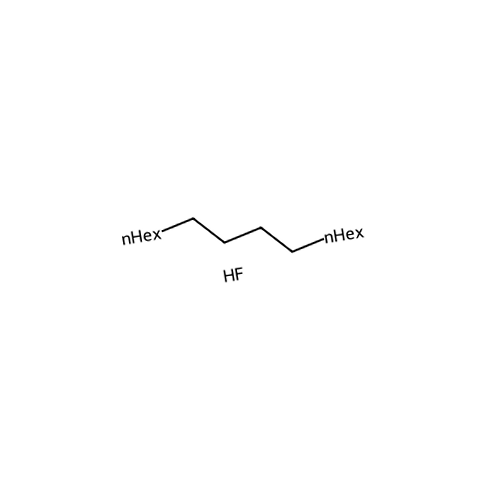 F.[CH2]CCCCCCCCCCCCCCC